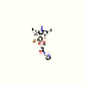 CCCC1CC(=O)C2=C(C1)NC(C)=C(C#N)C2c1cc(Br)c(OCC=CC(=O)NCc2ccccn2)c(OCC)c1